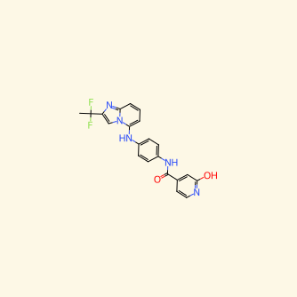 CC(F)(F)c1cn2c(Nc3ccc(NC(=O)c4ccnc(O)c4)cc3)cccc2n1